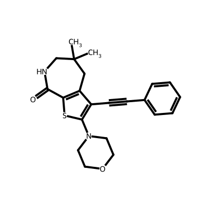 CC1(C)CNC(=O)c2sc(N3CCOCC3)c(C#Cc3ccccc3)c2C1